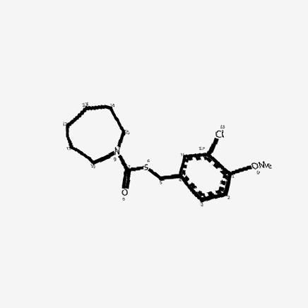 COc1ccc(CSC(=O)N2CCCCCC2)cc1Cl